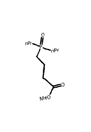 CCCP(=O)(CCC)CCCC(=O)OC